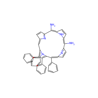 Nc1c2nc(cc3c(-c4ccccc4)c(-c4ccccc4)c(c(-c4ccccc4)c4nc(c(N)c5ccc1[nH]5)C=C4)n3-c1ccccc1)C=C2